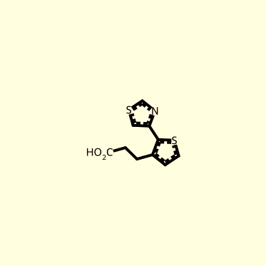 O=C(O)CCc1ccsc1-c1cscn1